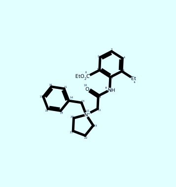 CCOC(=O)c1cccc(CC)c1NC(=O)C[N+]1(Cc2ccccc2)CCCC1